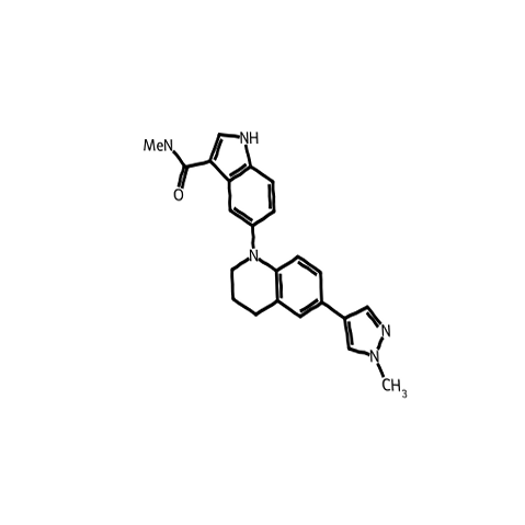 CNC(=O)c1c[nH]c2ccc(N3CCCc4cc(-c5cnn(C)c5)ccc43)cc12